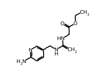 C=C(NCC(=O)OCC)NCc1ccc(N)nc1